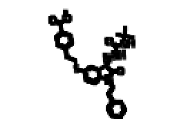 COC(=O)c1ccc(CCSc2ccc3c(c2)/C(=N/NC(=O)NC(C)(C)C)C(=O)N3CCc2ccccc2)cc1